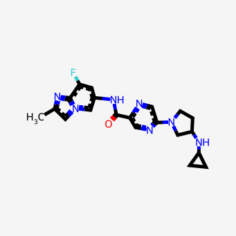 Cc1cn2cc(NC(=O)c3cnc(N4CCC(NC5CC5)C4)cn3)cc(F)c2n1